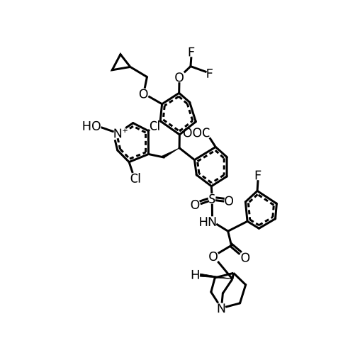 O=C([O-])c1ccc(S(=O)(=O)NC(C(=O)O[C@H]2CN3CCC2CC3)c2cccc(F)c2)cc1[C@@H](Cc1c(Cl)c[n+](O)cc1Cl)c1ccc(OC(F)F)c(OCC2CC2)c1